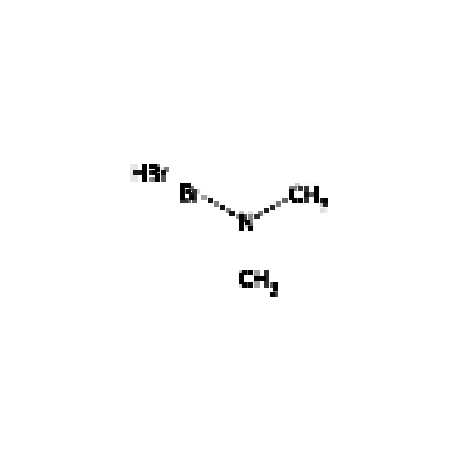 Br.CN(C)Br